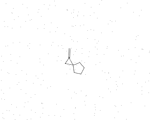 C=C1CC12CCCC2